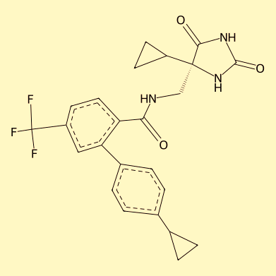 O=C1NC(=O)[C@](CNC(=O)c2ccc(C(F)(F)F)cc2-c2ccc(C3CC3)cc2)(C2CC2)N1